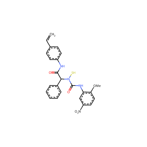 C=Cc1ccc(NC(=O)C(c2ccccc2)N(S)C(=O)Nc2cc([N+](=O)[O-])ccc2OC)cc1